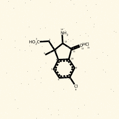 CC1(CC(=O)O)c2ccc(Cl)cc2C(=O)C1N.Cl